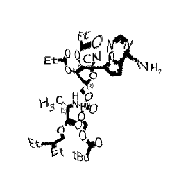 CCC(=O)O[C@H]1[C@@H](OC(=O)CC)[C@](C#N)(c2ccc3c(N)ncnn23)O[C@@H]1CO[P@](=O)(N[C@@H](C)C(=O)OCC(CC)CC)OCOC(=O)C(C)(C)C